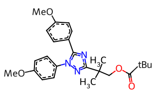 COc1ccc(-c2nc(C(C)(C)COC(=O)C(C)(C)C)nn2-c2ccc(OC)cc2)cc1